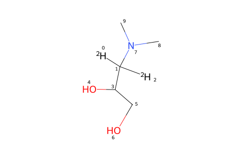 [2H]C([2H])(C(O)CO)N(C)C